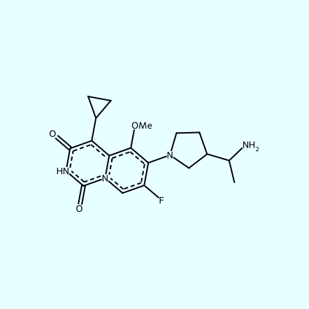 COc1c(N2CCC(C(C)N)C2)c(F)cn2c(=O)[nH]c(=O)c(C3CC3)c12